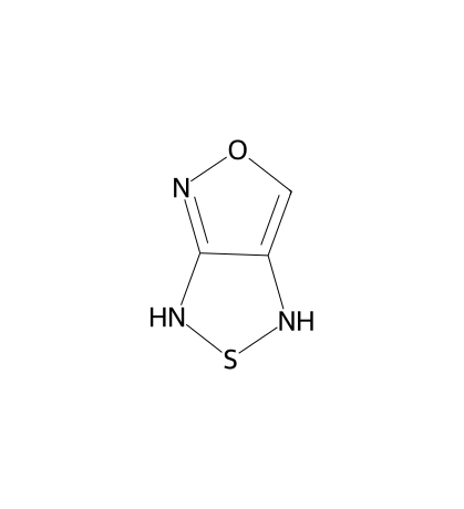 c1onc2c1NSN2